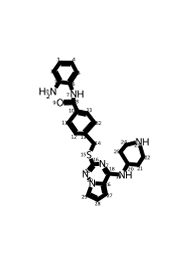 Nc1ccccc1NC(=O)c1ccc(CSc2nc(NC3CCNCC3)c3cccn3n2)cc1